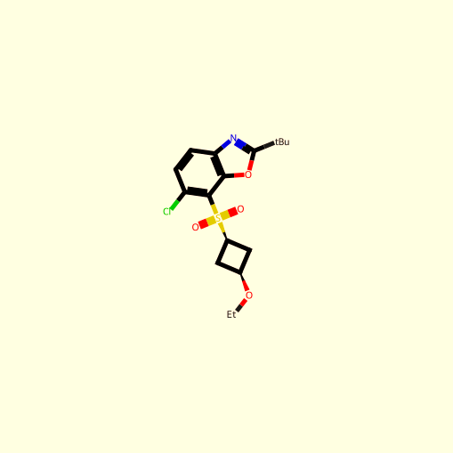 CCO[C@H]1C[C@@H](S(=O)(=O)c2c(Cl)ccc3nc(C(C)(C)C)oc23)C1